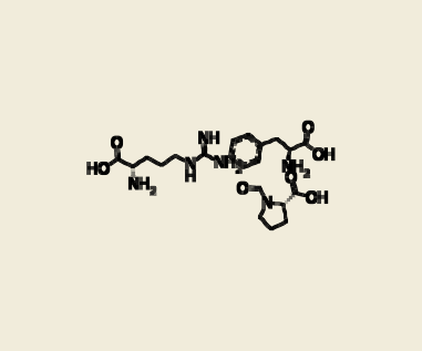 N=C(N)NCCC[C@H](N)C(=O)O.N[C@@H](Cc1ccccc1)C(=O)O.O=CN1CCC[C@H]1C(=O)O